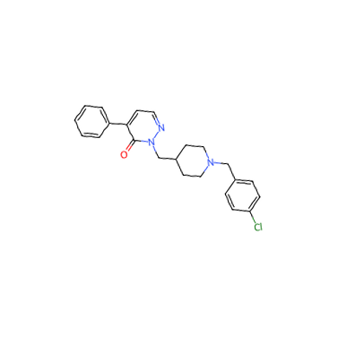 O=c1c(-c2ccccc2)ccnn1CC1CCN(Cc2ccc(Cl)cc2)CC1